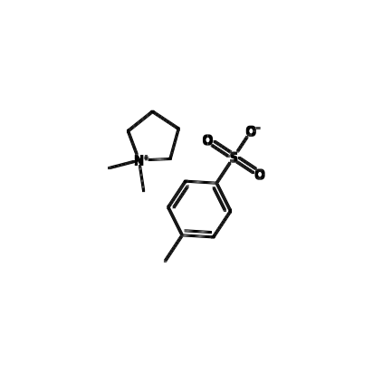 C[N+]1(C)CCCC1.Cc1ccc(S(=O)(=O)[O-])cc1